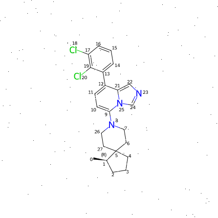 C[C@@H]1CCCC12CCN(c1ccc(-c3cccc(Cl)c3Cl)c3cncn13)CC2